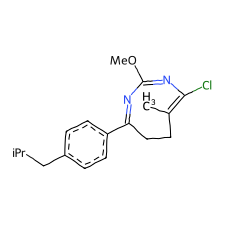 COC1=N/C(Cl)=C(\C)CC/C(c2ccc(CC(C)C)cc2)=N\1